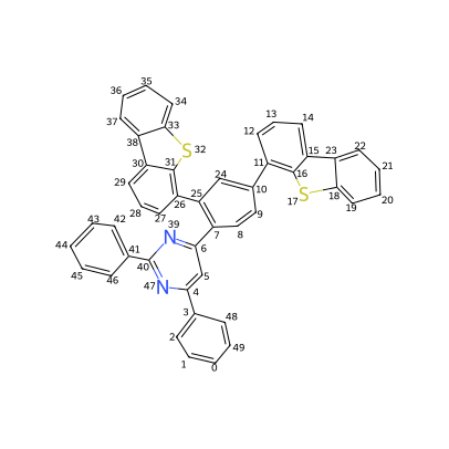 c1ccc(-c2cc(-c3ccc(-c4cccc5c4sc4ccccc45)cc3-c3cccc4c3sc3ccccc34)nc(-c3ccccc3)n2)cc1